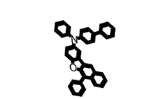 c1ccc(-c2ccc(N(c3ccccc3)c3ccc4oc5c(-c6ccccc6)c6ccccc6cc5c4c3)cc2)cc1